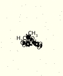 CCn1nc(C)cc1C(=O)Nc1nc2cc3c(cc2n1Cc1ccc(P(=O)(O)O)cc1)OCCO3